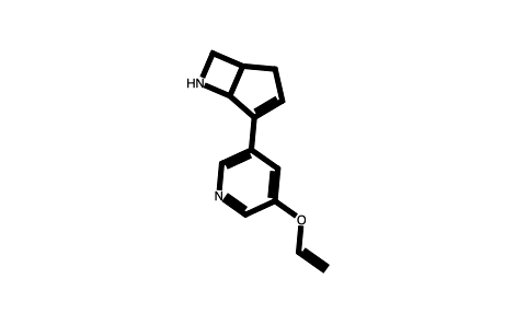 C=COc1cncc(C2=CCC3CNC23)c1